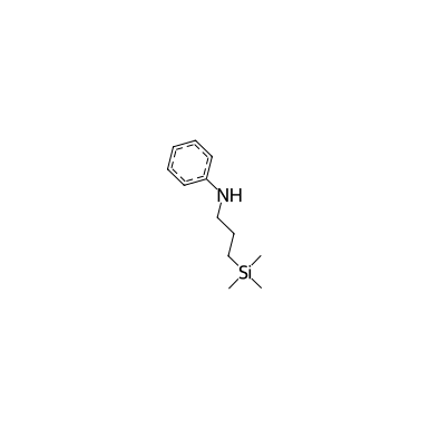 C[Si](C)(C)CCCNc1ccccc1